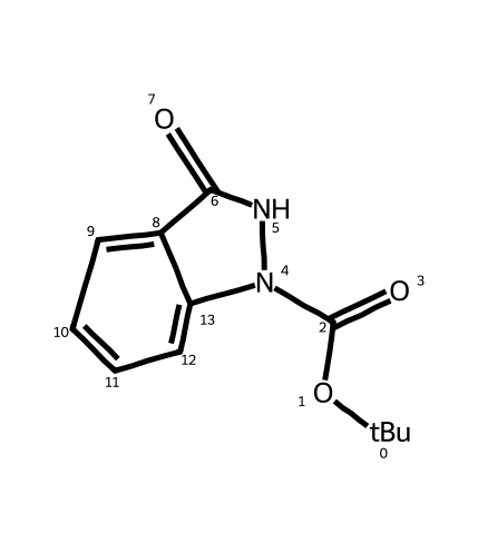 CC(C)(C)OC(=O)n1[nH]c(=O)c2ccccc21